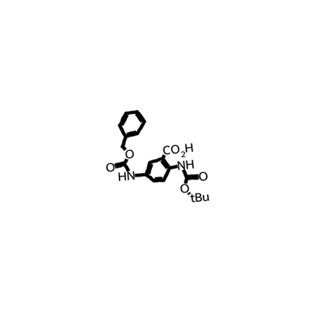 CC(C)(C)OC(=O)Nc1ccc(NC(=O)OCc2ccccc2)cc1C(=O)O